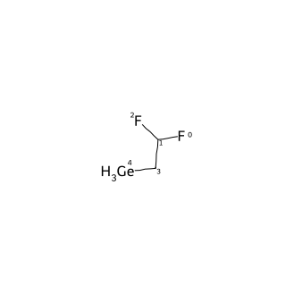 FC(F)[CH2][GeH3]